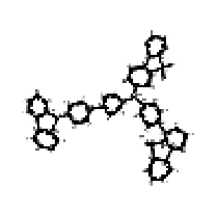 CC1(C)c2ccccc2-c2ccc(N(c3ccc(-c4ccc(C5c6ccccc6-c6ccccc65)cc4)cc3)c3ccc(-c4cccc5c4C(=O)c4ccccc4-5)cc3)cc21